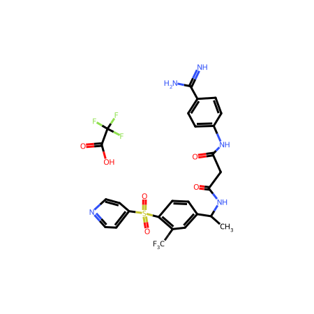 CC(NC(=O)CC(=O)Nc1ccc(C(=N)N)cc1)c1ccc(S(=O)(=O)c2ccncc2)c(C(F)(F)F)c1.O=C(O)C(F)(F)F